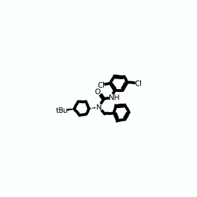 CC(C)(C)[C@H]1CC[C@H](N(Cc2ccccc2)C(=O)Nc2cc(Cl)ccc2Cl)CC1